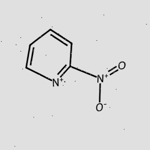 O=[N+]([O-])C1=[N+]C=CC=C1